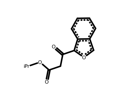 CC(C)OC(=O)CC(=O)c1occ2ccccc12